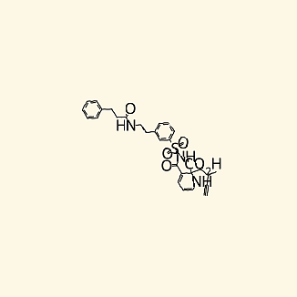 C#CC(C)CC1(C(=O)O)NC=CC=C1C(=O)NS(=O)(=O)c1cccc(CCNC(=O)CCc2ccccc2)c1